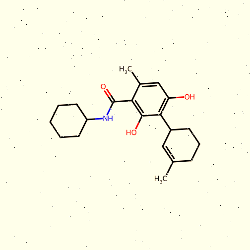 CC1=CC(c2c(O)cc(C)c(C(=O)NC3CCCCC3)c2O)CCC1